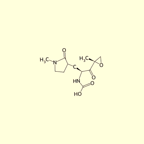 CN1CCC(C[C@H](NC(=O)O)C(=O)[C@]2(C)CO2)C1=O